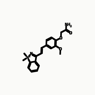 COc1cc(/C=C/C2=N[N+](C)(C)c3ccccc32)ccc1OCC(N)=O